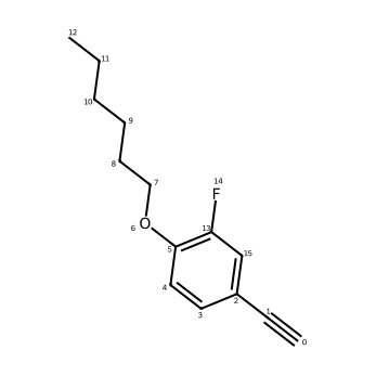 C#Cc1ccc(OCCCCCC)c(F)c1